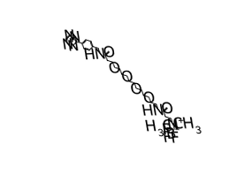 C[N+](C)(CCC(=O)NCCOCCOCCOCCOCCC(=O)NCc1ccc(-c2nncnn2)cc1)C[B-](F)(F)F